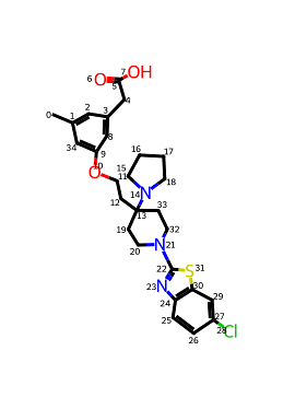 Cc1cc(CC(=O)O)cc(OCCC2(N3CCCC3)CCN(c3nc4ccc(Cl)cc4s3)CC2)c1